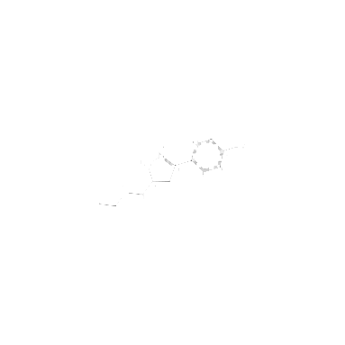 CCOCC1CC(c2ccc(Br)cn2)=NO1